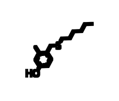 CCCCCCSCc1ccc(O)cc1C